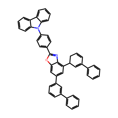 C1=CC(c2ccccc2)=CC(c2cc(-c3cccc(-c4ccccc4)c3)cc3oc(-c4ccc(-n5c6ccccc6c6ccccc65)cc4)nc23)C1